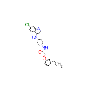 CCc1cccc(OCC(=O)NC2CCC(Nc3ccnc4cc(Cl)ccc34)CC2)c1